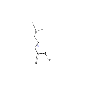 CN(C)C/C=C/C(=O)SS